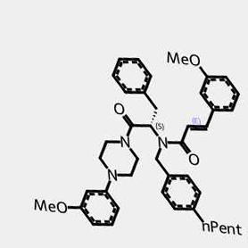 CCCCCc1ccc(CN(C(=O)/C=C/c2cccc(OC)c2)[C@@H](Cc2ccccc2)C(=O)N2CCN(c3cccc(OC)c3)CC2)cc1